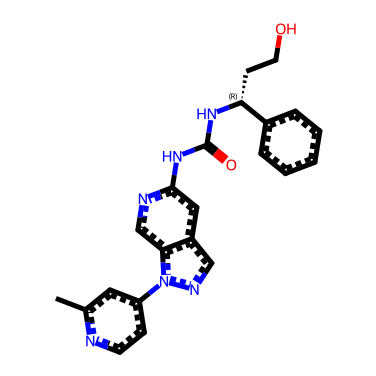 Cc1cc(-n2ncc3cc(NC(=O)N[C@H](CCO)c4ccccc4)ncc32)ccn1